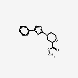 COC(=O)C1CN(c2nc(-c3ccccc3)cs2)CCO1